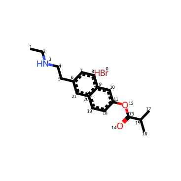 Br.CCNCCc1ccc2cc(OC(=O)C(C)C)ccc2c1